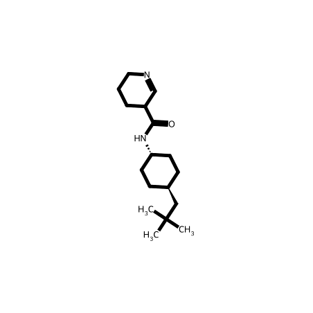 CC(C)(C)C[C@H]1CC[C@H](NC(=O)C2C=NCCC2)CC1